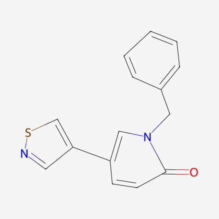 O=c1ccc(-c2cnsc2)cn1Cc1ccccc1